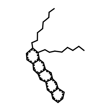 CCCCCCCCc1ccc2cc3cc4cc5ccccc5cc4cc3cc2c1CCCCCCCC